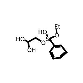 CCO[Si](O)(OCC(O)O)c1ccccc1